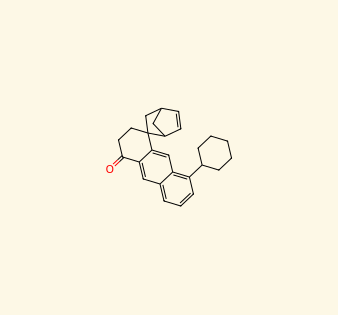 O=C1CCC2(CC3C=CC2C3)c2cc3c(C4CCCCC4)cccc3cc21